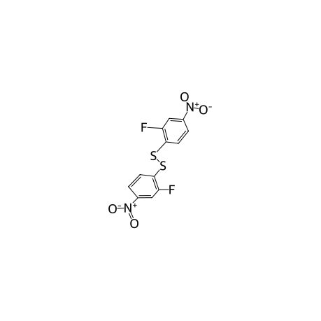 O=[N+]([O-])c1ccc(SSc2ccc([N+](=O)[O-])cc2F)c(F)c1